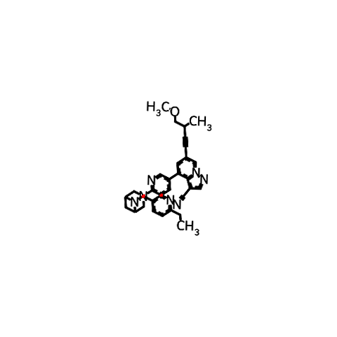 CCc1ccc(CN2C3CC2CN(c2ccc(-c4cc(C#CC(C)COC)cn5ncc(C#N)c45)cn2)C3)cn1